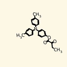 CCC(=O)C(=O)Oc1ccc(N(c2ccc(C)cc2)c2ccc(C)cc2)cc1